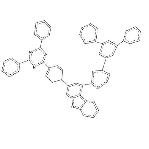 C1=CC(c2cc(-c3cccc(-c4cc(-c5ccccc5)cc(-c5ccccc5)c4)c3)c3c(c2)oc2ccccc23)CC=C1c1nc(-c2ccccc2)nc(-c2ccccc2)n1